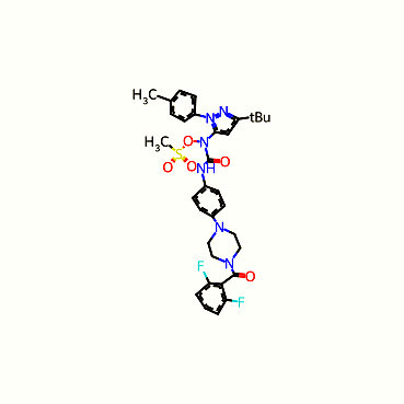 Cc1ccc(-n2nc(C(C)(C)C)cc2N(OS(C)(=O)=O)C(=O)Nc2ccc(N3CCN(C(=O)c4c(F)cccc4F)CC3)cc2)cc1